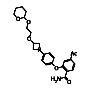 CC(=O)c1ccc(C(N)=O)c(Oc2ccc(N3CC(OCCOC4CCCCO4)C3)cc2)c1